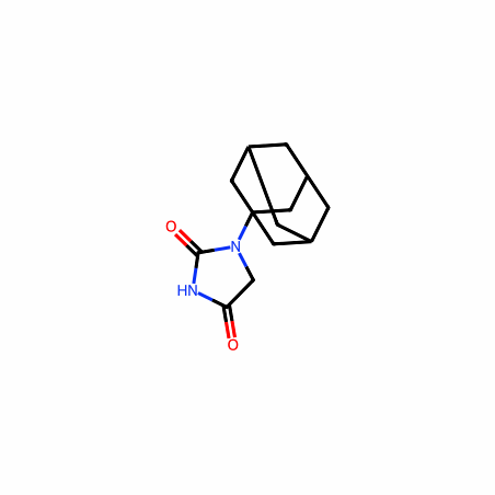 O=C1CN(C23CC4CC(CC(C4)C2)C3)C(=O)N1